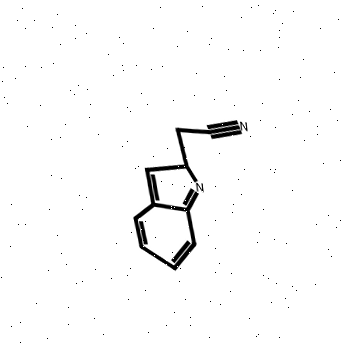 N#CCC1C=c2ccccc2=N1